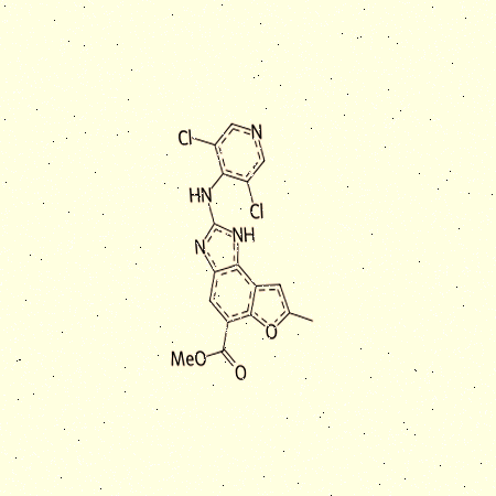 COC(=O)c1cc2nc(Nc3c(Cl)cncc3Cl)[nH]c2c2cc(C)oc12